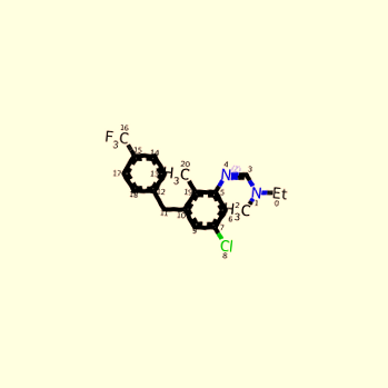 CCN(C)/C=N\c1cc(Cl)cc(Cc2ccc(C(F)(F)F)cc2)c1C